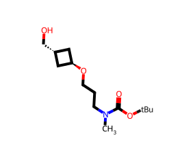 CN(CCCO[C@H]1C[C@H](CO)C1)C(=O)OC(C)(C)C